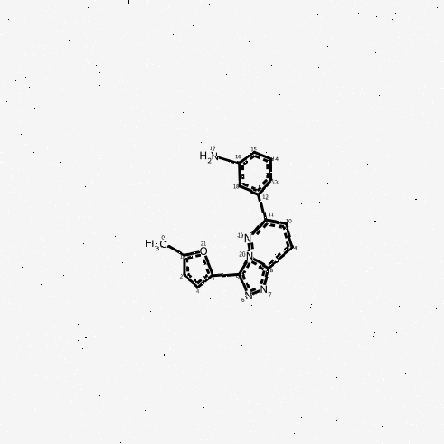 Cc1ccc(-c2nnc3ccc(-c4cccc(N)c4)nn23)o1